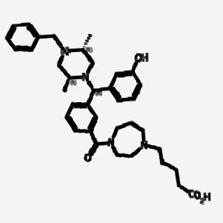 C[C@@H]1CN([C@@H](c2cccc(O)c2)c2cccc(C(=O)N3CCCN(CCCCC(=O)O)CC3)c2)[C@@H](C)CN1Cc1ccccc1